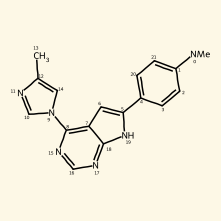 CNc1ccc(-c2cc3c(-n4cnc(C)c4)ncnc3[nH]2)cc1